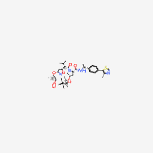 Cc1ncsc1-c1ccc([C@H](C)NC(=O)[C@@H]2CC(O[Si](C)(C)C(C)(C)C)CN2C(=O)[C@@H](c2cc(O[C@@H](C)C=O)no2)C(C)C)cc1